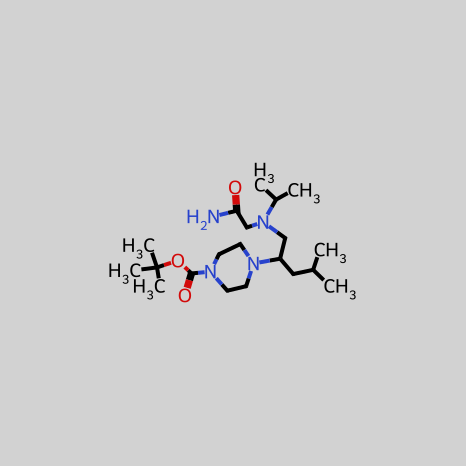 CC(C)CC(CN(CC(N)=O)C(C)C)N1CCN(C(=O)OC(C)(C)C)CC1